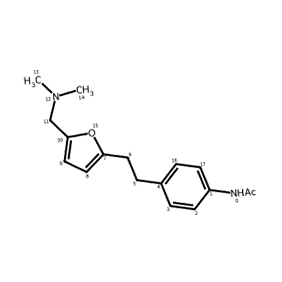 CC(=O)Nc1ccc(CCc2ccc(CN(C)C)o2)cc1